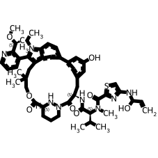 C=CC(O)Nc1csc(C(=O)N(C)[C@H](C(=O)N[C@H]2Cc3cc(O)cc(c3)-c3ccc4c(c3)c(c(-c3cccnc3[C@H](C)OC)n4CC)CC(C)(C)COC(=O)[C@@H]3CCCN(N3)C2=O)C(C)C)n1